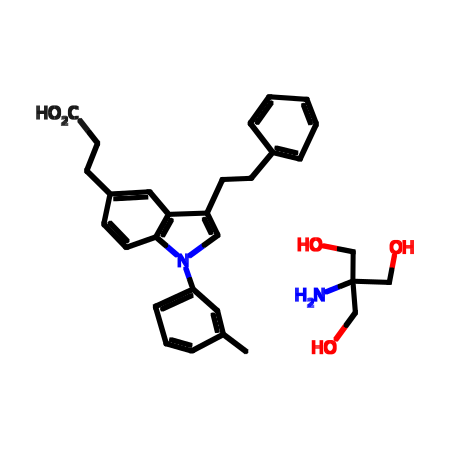 Cc1cccc(-n2cc(CCc3ccccc3)c3cc(CCC(=O)O)ccc32)c1.NC(CO)(CO)CO